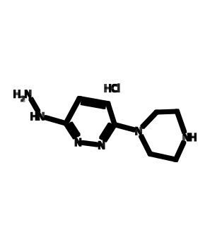 Cl.NNc1ccc(N2CCNCC2)nn1